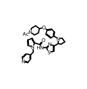 CC(=O)N1CCC(Oc2ccc(N3CCCC3c3csc(NC(=O)c4cccn4Cc4ccncc4)n3)cc2)CC1